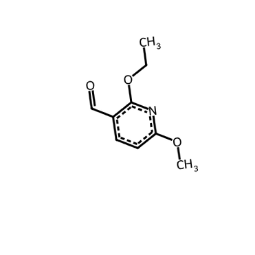 CCOc1nc(OC)ccc1C=O